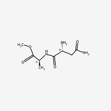 COC(=O)[C@H](C)NC(=O)[C@H](N)CC(N)=O